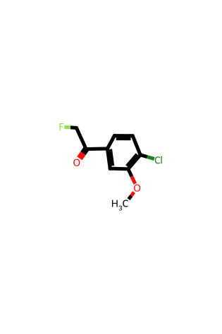 COc1cc(C(=O)CF)ccc1Cl